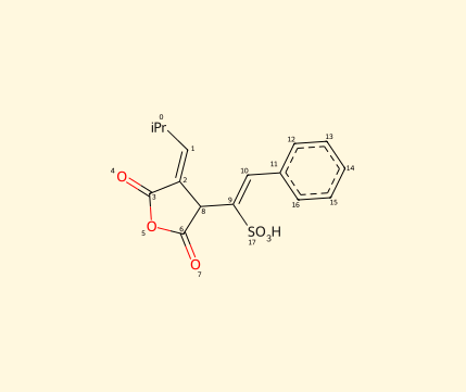 CC(C)C=C1C(=O)OC(=O)C1C(=Cc1ccccc1)S(=O)(=O)O